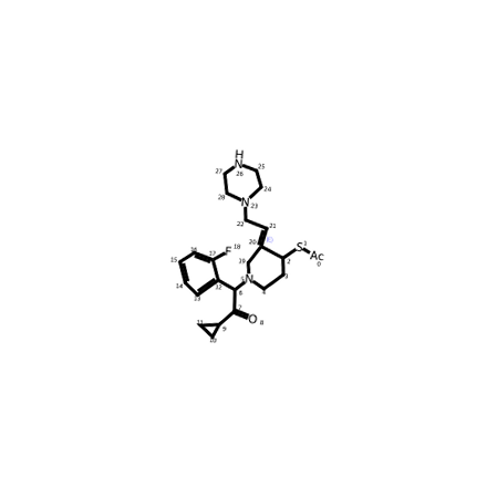 CC(=O)SC1CCN(C(C(=O)C2CC2)c2ccccc2F)C/C1=C\CN1CCNCC1